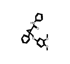 COc1ccc(OCC2(c3ccccc3)CC2C(=O)Nc2ccccc2)cc1OC